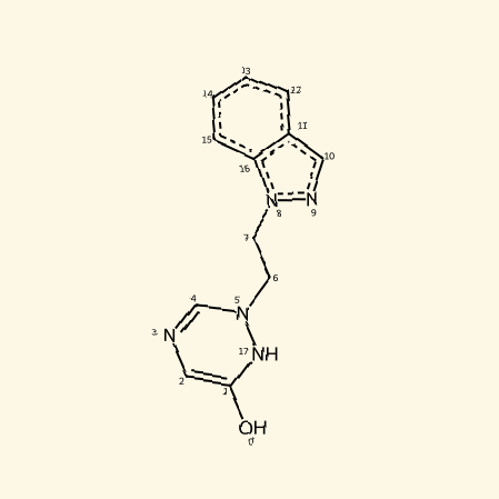 OC1=CN=CN(CCn2ncc3ccccc32)N1